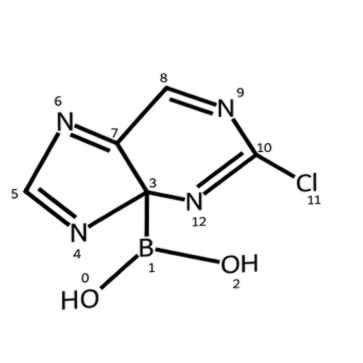 OB(O)C12N=CN=C1C=NC(Cl)=N2